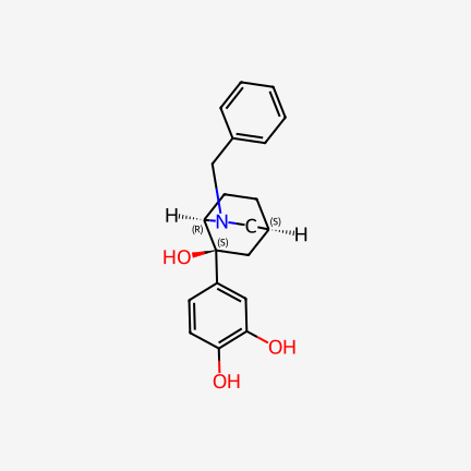 Oc1ccc([C@@]2(O)C[C@@H]3CC[C@H]2N(Cc2ccccc2)C3)cc1O